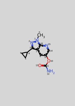 Cn1nc(C2CC2)c2cc(OC(N)=O)cnc21